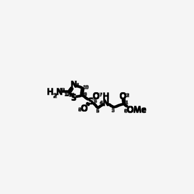 COC(=O)CNCS(=O)(=O)c1cnc(N)s1